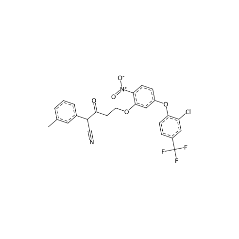 Cc1cccc(C(C#N)C(=O)CCOc2cc(Oc3ccc(C(F)(F)F)cc3Cl)ccc2[N+](=O)[O-])c1